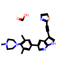 Cc1cc(-c2cnc3[nH]cc(C#Cc4nccs4)c3c2)cc(C)c1N1CCN(C)CC1.O=CO